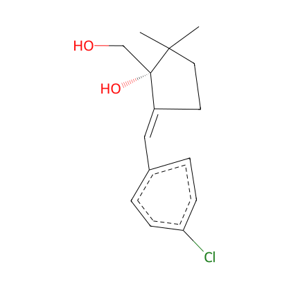 CC1(C)CC/C(=C\c2ccc(Cl)cc2)[C@@]1(O)CO